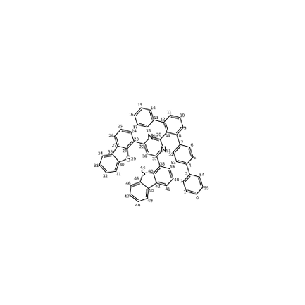 c1ccc(-c2ccc(-c3cccc(-c4ccccc4)c3-c3nc(-c4cccc5c4sc4ccccc45)cc(-c4cccc5c4sc4ccccc45)n3)cc2)cc1